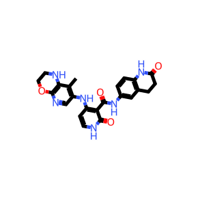 Cc1c(Nc2cc[nH]c(=O)c2C(=O)Nc2ccc3c(c2)CCC(=O)N3)cnc2c1NCCO2